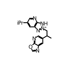 CC(C)c1cnc2[nH][n+](CC(C)c3cnc4ocnc4c3)nc2c1